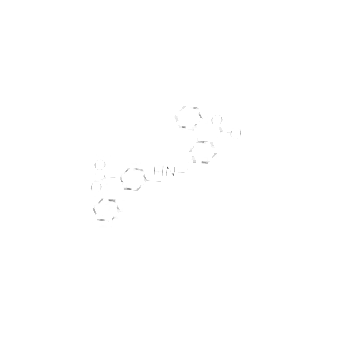 COC(=O)c1ccc(CNCc2ccc(C(=O)OC)c(-c3ccccc3)c2)cc1-c1ccccc1